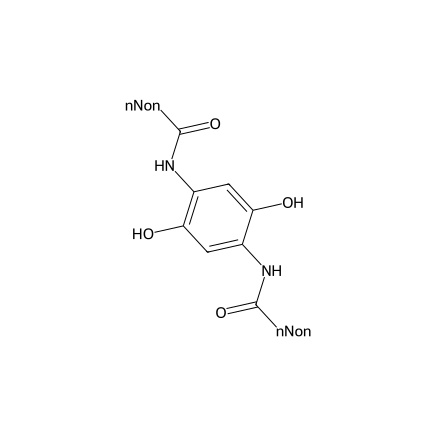 CCCCCCCCCC(=O)Nc1cc(O)c(NC(=O)CCCCCCCCC)cc1O